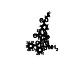 C=CCOC(=O)c1ccnc(/C=C2/C(=O)N3C2S(=O)(=O)[C@@](C)(COC(N)=O)[C@@H]3C(=O)OC(c2ccccc2)c2ccccc2)c1